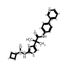 CC(C)(C(=O)Nc1ccc(-c2cccnc2)cc1)c1csc(N[S+]([O-])C2CCC2)n1